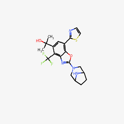 CC(C)(O)c1cc(-c2nccs2)c2oc(N3CC4CCC(C3)N4)nc2c1C(F)(F)F